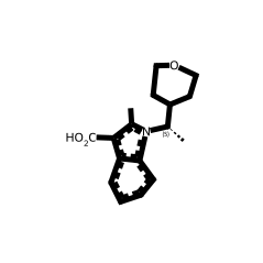 Cc1c(C(=O)O)c2ccccc2n1[C@@H](C)C1CCOCC1